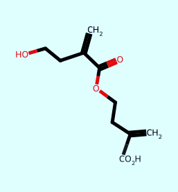 C=C(CCOC(=O)C(=C)CCO)C(=O)O